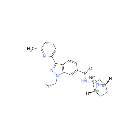 Cc1cccc(-c2nn(CC(C)C)c3cc(C(=O)N[C@@H]4C[C@@H]5CC[C@H]4N5C#N)ccc23)n1